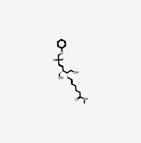 CNC(=O)CCC/C=C/C[C@@H](CO)[C@@H](/C=C/C(F)(F)COc1ccccc1)CO